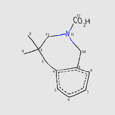 CC1(C)Cc2ccccc2CN(C(=O)O)C1